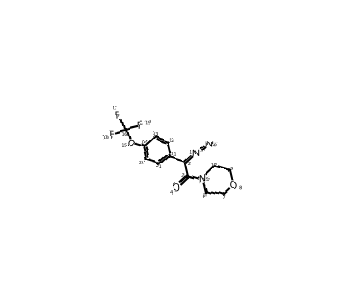 [N-]=[N+]=C(C(=O)N1CCOCC1)c1ccc(OC(F)(F)F)cc1